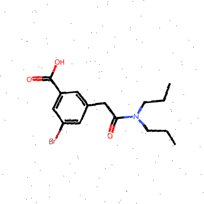 CCCN(CCC)C(=O)Cc1cc(Br)cc(C(=O)O)c1